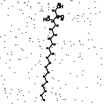 CCCCCCCCCCCCCCCCCC(O)C(=O)CO